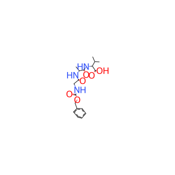 CC(NC(=O)CNC(=O)OCc1ccccc1)C(=O)NC(C(=O)O)C(C)C